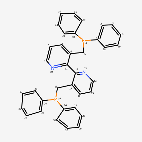 c1ccc(P(Cc2cccnc2-c2ncccc2CP(c2ccccc2)c2ccccc2)c2ccccc2)cc1